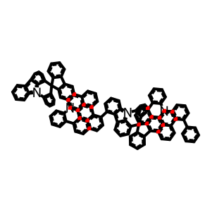 c1ccc(-c2cccc(N(c3ccc4c(c3)C3(c5ccccc5-4)c4ccccc4-n4c5cccc(-c6cccc7cc(N(c8ccc9c(c8)C8(c%10ccccc%10-9)c9ccccc9-n9c%10ccccc%10c%10cccc8c%109)c8ccccc8-c8ccccc8-c8cccc9ccccc89)ccc67)c5c5cccc3c54)c3ccccc3-c3ccccc3-c3cccc4ccccc34)c2)cc1